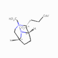 CC(=O)OCC[C@@H]1[C@@H]2CC[C@H](CN1C(=O)O)N2C(=O)O